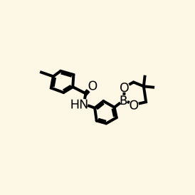 Cc1ccc(C(=O)Nc2cccc(B3OCC(C)(C)CO3)c2)cc1